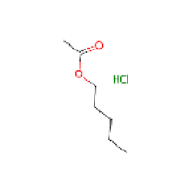 CCCCCOC(C)=O.Cl